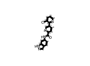 O=C(Nc1ccc2cn[nH]c2c1)c1ccc(-c2ncccc2Cl)cn1